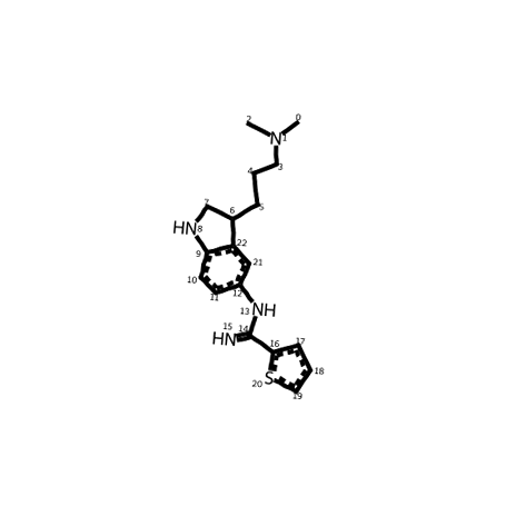 CN(C)CCCC1CNc2ccc(NC(=N)c3cccs3)cc21